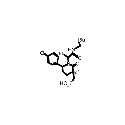 CCC(C(=O)NCC(C)(C)C)N1C(=O)[C@@](C)(CC(=O)O)CCC1c1ccc(Cl)cc1